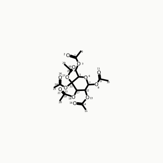 CC(=O)OCC1OC(OC(C)=O)C(OC(C)=O)C(OC(C)=O)C1(OC(C)=O)OC(C)=O